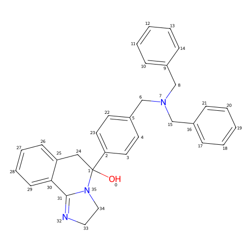 OC1(c2ccc(CN(Cc3ccccc3)Cc3ccccc3)cc2)Cc2ccccc2C2=NCCN21